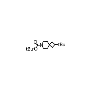 CC(C)(C)OC(=O)N1CCC2(CC1)CC(C(C)(C)C)C2